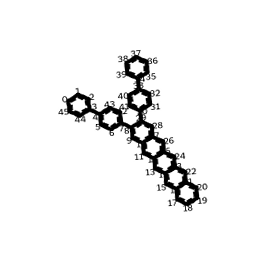 c1ccc(-c2ccc(-c3cc4cc5cc6cc7ccccc7cc6cc5cc4cc3-c3ccc(-c4ccccc4)cc3)cc2)cc1